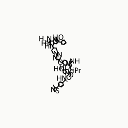 Cc1ncsc1-c1ccc([C@H](C)NC(=O)[C@@H]2C[C@@H](O)CN2C(=O)C(/C(O)=C/C(=N)N2CCC(Oc3cnc(N4CCC(Nc5cc(-c6ccccc6O)nnc5C(=N)N)CC4)nc3)CC2)C(C)C)cc1